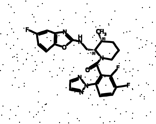 C[C@@H]1CCCN(C(=O)c2c(-n3nccn3)ccc(F)c2F)[C@@H]1CNc1nc2cc(F)ccc2o1